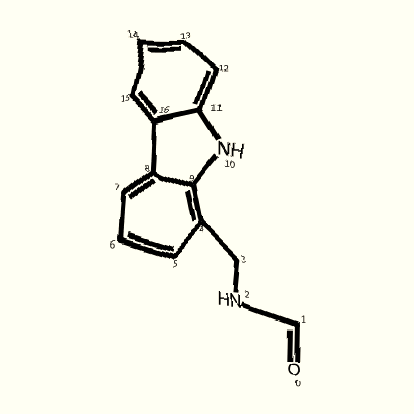 O=CNCc1cccc2c1[nH]c1ccccc12